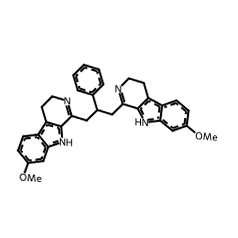 COc1ccc2c3c([nH]c2c1)C(CC(CC1=NCCc2c1[nH]c1cc(OC)ccc21)c1ccccc1)=NCC3